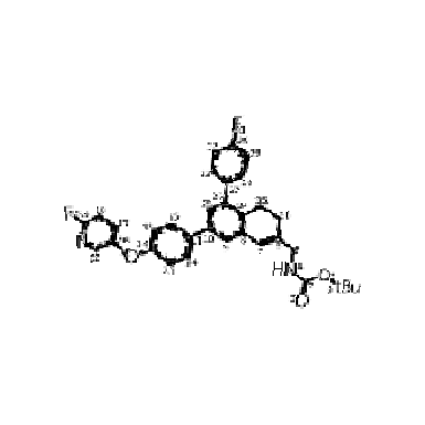 CC(C)(C)OC(=O)NCC1=Cc2cc(-c3ccc(Oc4ccc(F)nc4)cc3)cc(-c3ccc(F)cc3)c2CC1